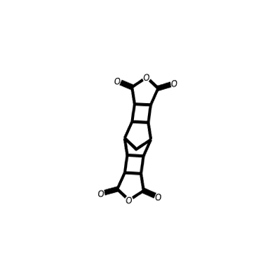 O=C1OC(=O)C2C1C1C3CC(C21)C1C2C(=O)OC(=O)C2C31